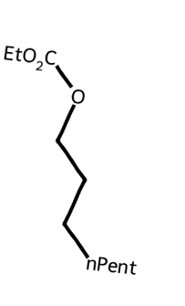 CCCCCCCCOC(=O)OCC